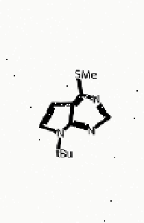 CSc1ncnc2c1ccn2C(C)(C)C